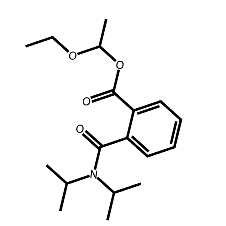 CCOC(C)OC(=O)c1ccccc1C(=O)N(C(C)C)C(C)C